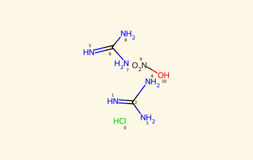 Cl.N=C(N)N.N=C(N)N.O=[N+]([O-])O